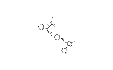 CCOC(=O)C(C)(C)C(=NOCc1ccc(OCN2C=C(C)OC2c2ccccc2)cc1)c1ccccc1